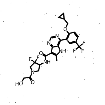 Cc1[nH]c2c(-c3cc(C(F)(F)F)ccc3OCC3CC3)ncnc2c1C(=O)NC1CN(C(=O)CO)CC1(F)F